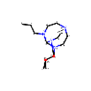 CCCN1CCN2CCN(CCC)C1N(CCC)CC2